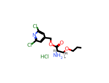 CCCO[C@H](C)[C@H](N)C(=O)OCc1cc(Cl)nc(Cl)c1.Cl